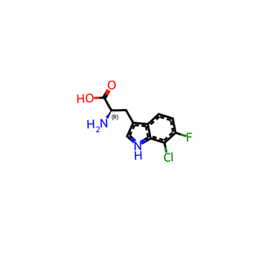 N[C@H](Cc1c[nH]c2c(Cl)c(F)ccc12)C(=O)O